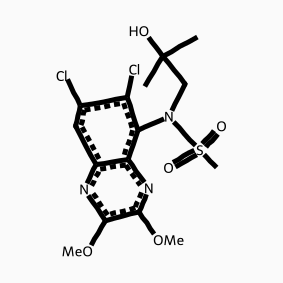 COc1nc2cc(Cl)c(Cl)c(N(CC(C)(C)O)S(C)(=O)=O)c2nc1OC